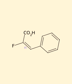 O=C(O)/C(F)=C\c1ccccc1